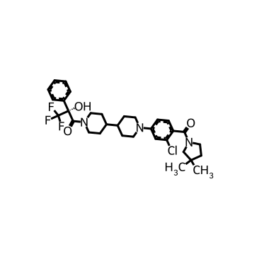 CC1(C)CCN(C(=O)c2ccc(N3CCC(C4CCN(C(=O)[C@](O)(c5ccccc5)C(F)(F)F)CC4)CC3)cc2Cl)C1